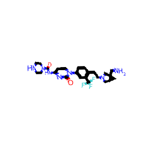 NCC12C=C1CN(CCc1ccc(-n3ccc(NC(=O)N4CCNCC4)nc3=O)cc1C(F)(F)F)C2